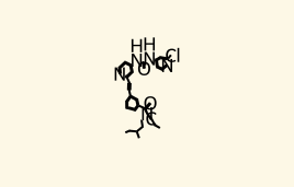 CCCN(CCC(C)CC)C(=O)c1cccc(C#Cc2cc(NC(=O)Nc3ccnc(Cl)c3)ccn2)c1